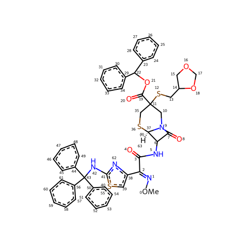 CON=C(C(=O)NC1C(=O)N2CC(SCC3COCO3)(C(=O)OC(c3ccccc3)c3ccccc3)CS[C@H]12)c1csc(NC(c2ccccc2)(c2ccccc2)c2ccccc2)n1